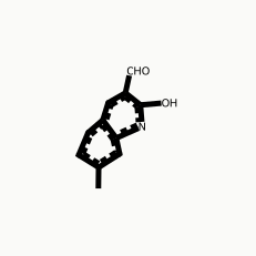 Cc1ccc2cc(C=O)c(O)nc2c1